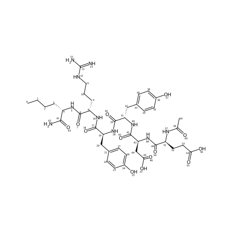 CCCC[C@H](NC(=O)[C@H](CCCNC(=N)N)NC(=O)[C@H](Cc1ccc(O)cc1)NC(=O)[C@H](Cc1ccc(O)cc1)NC(=O)[C@H](CC(=O)O)NC(=O)[C@H](CCC(=O)O)NC(C)=O)C(N)=O